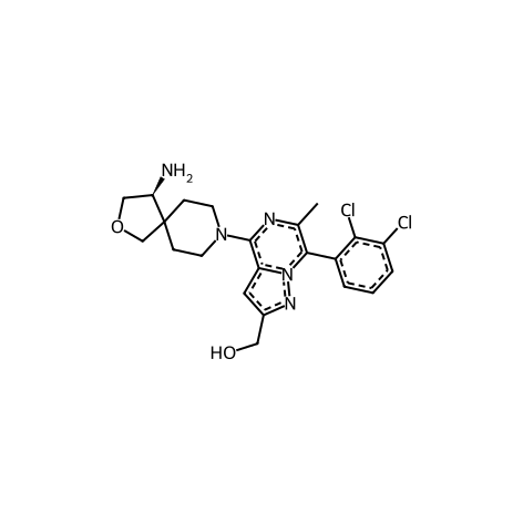 Cc1nc(N2CCC3(CC2)COC[C@H]3N)c2cc(CO)nn2c1-c1cccc(Cl)c1Cl